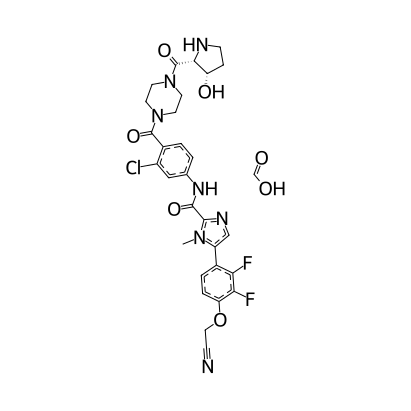 Cn1c(-c2ccc(OCC#N)c(F)c2F)cnc1C(=O)Nc1ccc(C(=O)N2CCN(C(=O)[C@@H]3NCC[C@@H]3O)CC2)c(Cl)c1.O=CO